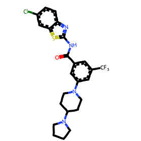 O=C(Nc1nc2ccc(Cl)cc2s1)c1cc(N2CCC(N3CCCC3)CC2)cc(C(F)(F)F)c1